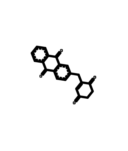 O=C1C=C(Cc2ccc3c(c2)C(=O)c2ccccc2C3=O)C(=O)CC1